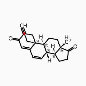 C#CC[C@]12CCC(=O)C=C1C=C[C@@H]1[C@@H]2CC[C@]2(C)C(=O)CC[C@@H]12